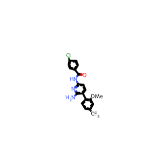 COc1cc(C(F)(F)F)ccc1-c1ccc(NC(=O)c2ccc(Cl)cc2)nc1N